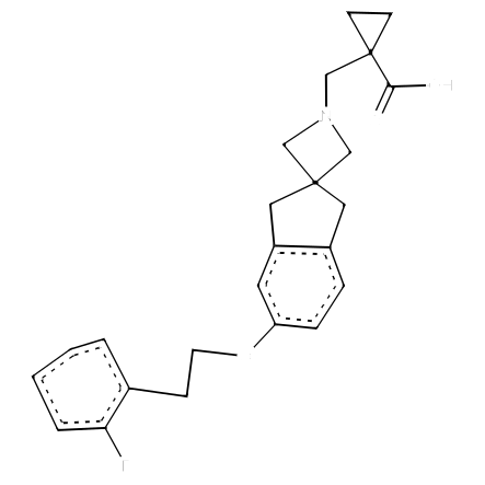 O=C(O)C1(CN2CC3(Cc4ccc(OCCc5ccccc5F)cc4C3)C2)CC1